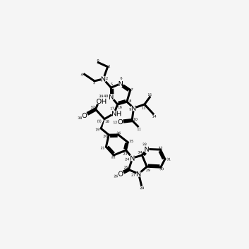 CCN(CC)c1ncc(N(C(C)=O)C(C)C)c(N[C@@H](Cc2ccc(-n3c(=O)n(C)c4cccnc43)cc2)C(=O)O)n1